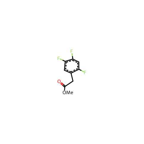 COC(=O)Cc1cc(F)c(F)cc1F